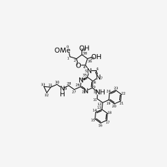 COCC1OC(n2cnc3c(NCC(c4ccccc4)c4ccccc4)nc(CCNCC4CC4)nc32)C(O)C1O